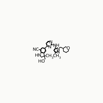 Cc1cc(Nc2nccc(-c3cc(C#N)c4c(c3)C(C)(CO)CN4)n2)n(CC2CCCOC2)n1